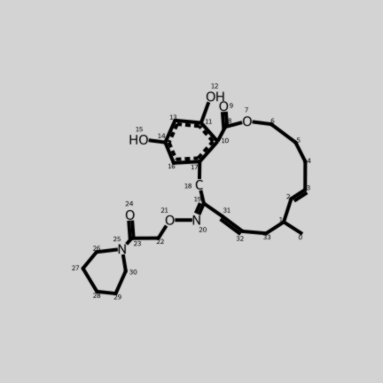 CC1/C=C/CCCOC(=O)c2c(O)cc(O)cc2CC(=NOCC(=O)N2CCCCC2)/C=C/C1